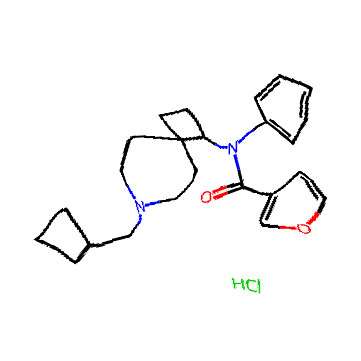 Cl.O=C(c1ccoc1)N(c1ccccc1)C1CCC12CCN(CC1CCC1)CC2